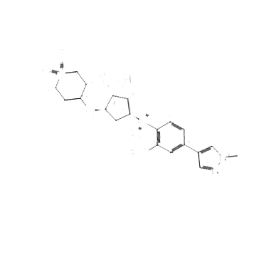 Cn1cc(-c2ccc(S(=O)(=O)[C@H]3C[C@@H](OC4CCS(=O)(=O)CC4)[C@H](C(=O)O)C3)c(C(F)(F)F)c2)cn1